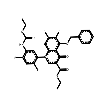 CCOC(=O)Nc1cc(-n2cc(C(=O)OCC)c(=O)c3c(OCc4ccccc4)c(F)c(F)cc32)c(F)cc1F